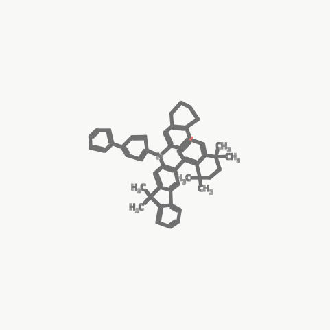 CC1(C)CCC(C)(C)c2c(-c3cc4c(cc3N(c3ccc(-c5ccccc5)cc3)c3ccc5c(c3)CCCC5)C(C)(C)c3ccccc3-4)cccc21